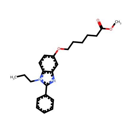 CCCn1c(-c2ccccc2)nc2cc(OCCCCCC(=O)OC)ccc21